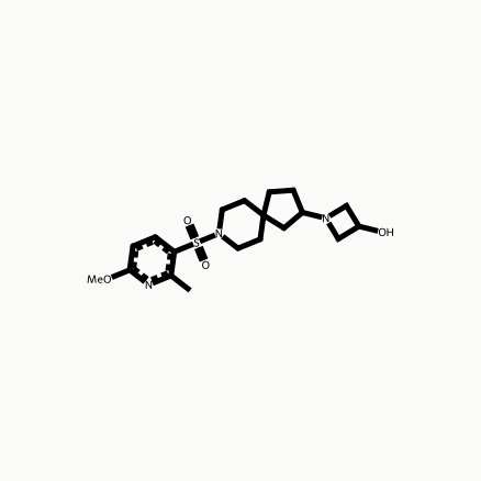 COc1ccc(S(=O)(=O)N2CCC3(CCC(N4CC(O)C4)C3)CC2)c(C)n1